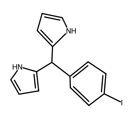 Ic1ccc(C(c2ccc[nH]2)c2ccc[nH]2)cc1